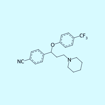 N#Cc1ccc(C(CCN2CCCCC2)Oc2ccc(C(F)(F)F)cc2)cc1